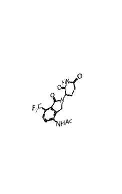 CC(=O)Nc1ccc(C(F)(F)F)c2c1CN(C1CCC(=O)NC1=O)C2=O